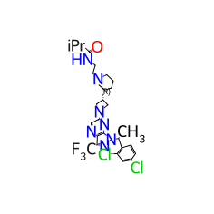 CC(C)C(=O)NCCN1CCC[C@H](C2CN(c3cnc4c(C(F)(F)F)nn(C(C)c5ccc(Cl)cc5Cl)c4n3)C2)C1